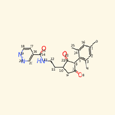 Cc1cc(C)c(C2C(=O)CC(CCNC(=O)c3ccnnc3)C2=O)c(C)c1